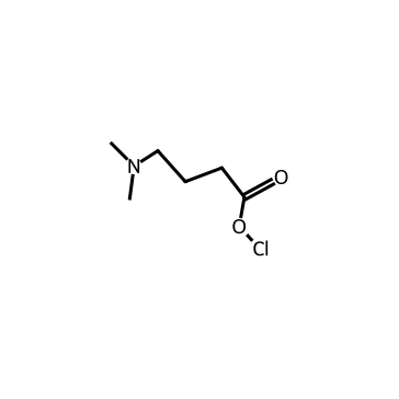 CN(C)CCCC(=O)OCl